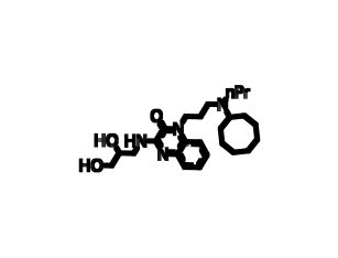 CCCN(CCCn1c(=O)c(NCC(O)CO)nc2ccccc21)C1CCCCCCC1